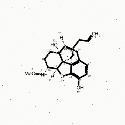 C=CCN1CC[C@]23c4c5ccc(O)c4O[C@H]2[C@H](NOC)CC[C@@]3(O)[C@H]1C5